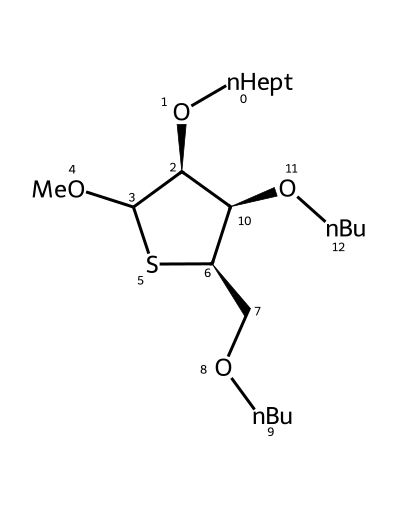 CCCCCCCO[C@@H]1C(OC)S[C@H](COCCCC)[C@@H]1OCCCC